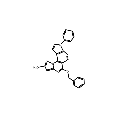 Cc1cc2nc(OCc3ccccc3)c3cnc4c(cnn4-c4ccccc4)c3n2n1